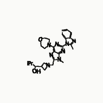 Cc1nc2ccccc2n1-c1nc(N2CCOCC2)c2nc(CN3CC(C(O)C(C)C)C3)n(C)c2n1